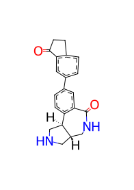 O=C1CCc2ccc(-c3ccc4c(c3)C(=O)NC[C@@H]3CNC[C@@H]43)cc21